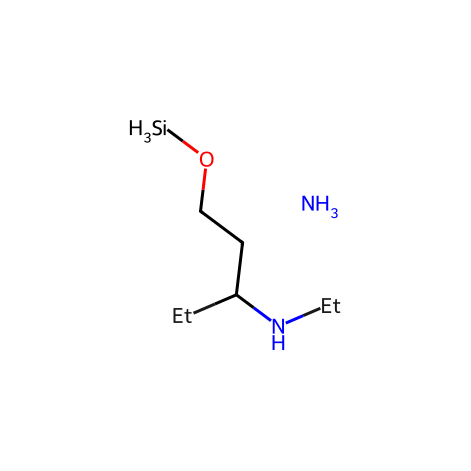 CCNC(CC)CCO[SiH3].N